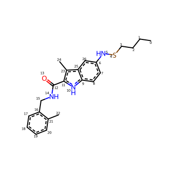 CCCCSNc1ccc2[nH]c(C(=O)NCc3ccccc3C)c(C)c2c1